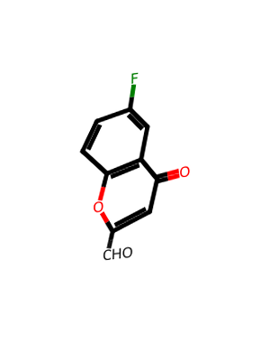 O=Cc1cc(=O)c2cc(F)ccc2o1